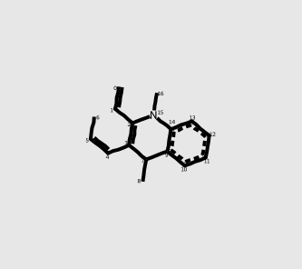 C=CC1=C(/C=C\C)C(C)c2ccccc2N1C